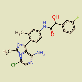 Cc1cc(NC(=O)C(O)c2cccc(F)c2)ccc1-c1nc(C)n2c(Cl)cnc(N)c12